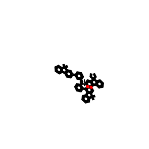 CCC1(CC)c2ccccc2-c2ccc(N(c3cccc(-c4ccc5c(c4)C(C)(C)c4ccccc4-5)c3)c3ccccc3-c3cccc4c3-c3ccccc3C4(C)C)cc21